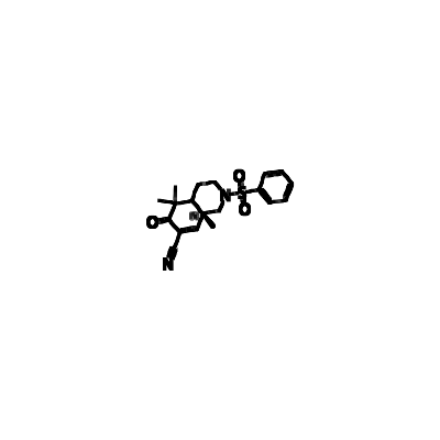 CC1(C)C(=O)C(C#N)=C[C@@]2(C)CN(S(=O)(=O)c3ccccc3)CCC12